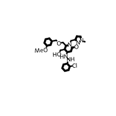 COc1cccc(COCc2c(CO)c(NNc3ccccc3Cl)cc(=O)n2Cc2ccn(C)n2)c1